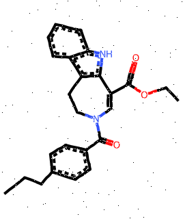 CCCc1ccc(C(=O)N2C=C(C(=O)OCC)c3[nH]c4ccccc4c3CC2)cc1